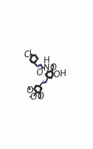 COc1cc(/C=C/c2cc(O)c(OC)c(NC(=O)/C=C/c3ccc(Cl)cc3)c2)cc(OC)c1OC